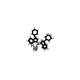 [CH2]=[Zr+2]([CH]1C=C(C2CCCCC2)c2ccccc21)[CH]1C=C(C2CCCCC2)c2ccccc21.[Cl-].[Cl-]